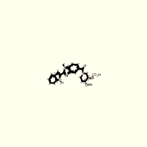 CCn1c(-c2nc3cc(C(=O)N4CC[C@@H](OC)[C@H](NC(=O)O)C4)ccc3n2C)cc2ccccc21